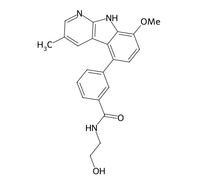 COc1ccc(-c2cccc(C(=O)NCCO)c2)c2c1[nH]c1ncc(C)cc12